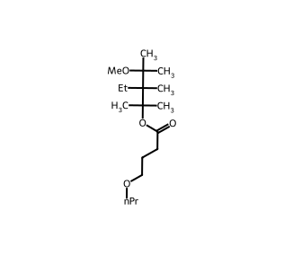 CCCOCCCC(=O)OC(C)(C)C(C)(CC)C(C)(C)OC